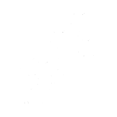 CC(C)c1ccc2oc3c(-c4cccc(-c5c6ccccc6c(-c6ccccc6)c6ccccc56)c4)cc4ccccc4c3c2c1